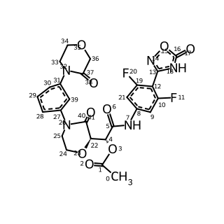 CC(=O)O[C@@H](C(=O)Nc1cc(F)c(-c2noc(=O)[nH]2)c(F)c1)[C@H]1OCCN(c2cccc(N3CCOCC3=O)c2)C1=O